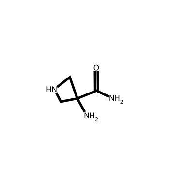 NC(=O)C1(N)CNC1